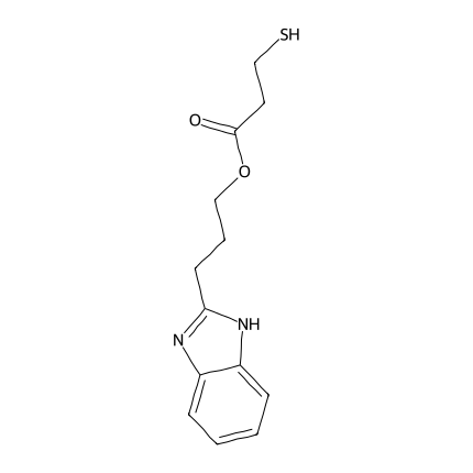 O=C(CCS)OCCCc1nc2ccccc2[nH]1